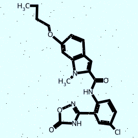 CCCCOc1ccc2cc(C(=O)Nc3ccc(Cl)cc3-c3noc(=O)[nH]3)n(C)c2c1